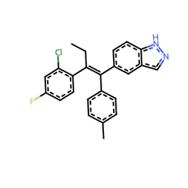 CC/C(=C(/c1ccc(C)cc1)c1ccc2[nH]ncc2c1)c1ccc(F)cc1Cl